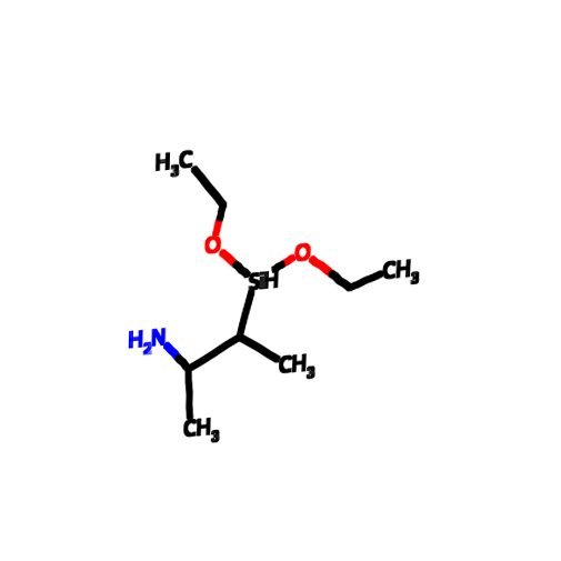 CCO[SiH](OCC)C(C)C(C)N